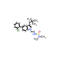 CN(C)[S+]([O-])NCCn1cc(CC(C)(C)C)c2cc(-c3ccccc3Cl)ccc21